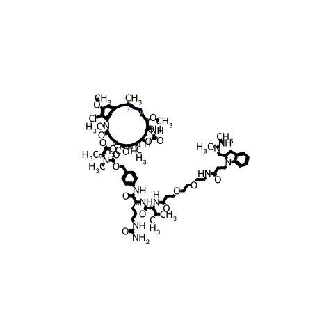 CNN(C)CC1Cc2ccccc2N1CCC(=O)NCCOCCOCCC(=O)N[C@H](C(=O)N[C@@H](CCCNC(N)=O)C(=O)Nc1ccc(COC(=O)N(C)[C@@H](C)C(=O)O[C@H]2CC(=O)N(C)c3cc(cc(OC)c3Cl)C/C(C)=C/C=C/[C@@H](OC)[C@@]3(O)C[C@H](OC(=O)N3)[C@@H](C)[C@@H]3O[C@]23C)cc1)C(C)C